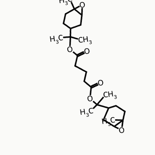 CC(C)(OC(=O)CCCC(=O)OC(C)(C)C1CCC2(C)OC2C1)C1CCC2(C)OC2C1